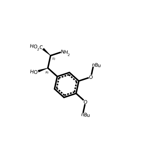 CCCCOc1ccc([C@@H](O)[C@H](N)C(=O)O)cc1OCCCC